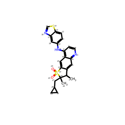 CC1c2cc3nccc(Nc4ccc5scnc5c4)c3cc2S(=O)(=O)C1(C)CC1CC1